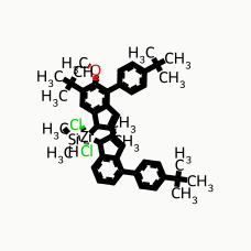 COc1c(C(C)(C)C)cc2c(c1-c1ccc(C(C)(C)C)cc1)C=C(C)[CH]2[Zr]([Cl])([Cl])([CH]1C(C)=Cc2c(-c3ccc(C(C)(C)C)cc3)cccc21)[SiH](C)C